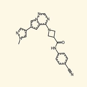 Cn1cc(-c2cc3c(N4CC(C(=O)Nc5ccc(C#N)cc5)C4)ncnn3c2)cn1